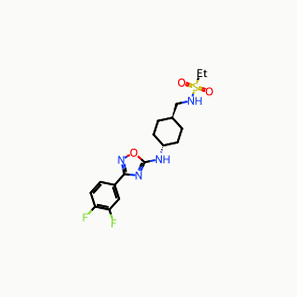 CCS(=O)(=O)NC[C@H]1CC[C@H](Nc2nc(-c3ccc(F)c(F)c3)no2)CC1